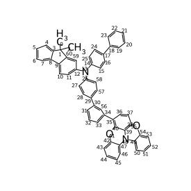 CC1(C)c2ccccc2-c2ccc(N(c3ccc(-c4ccccc4)cc3)c3ccc(-c4cccc(-c5ccc6c7c5Oc5ccccc5N7c5ccccc5O6)c4)cc3)cc21